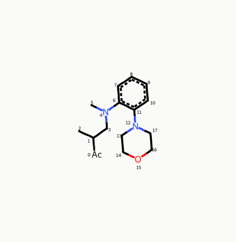 CC(=O)C(C)CN(C)c1ccccc1N1CCOCC1